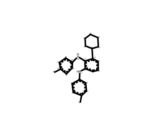 Cc1ccc(Nc2cccc(C3CCCCC3)c2Nc2ccc(C)cc2)cc1